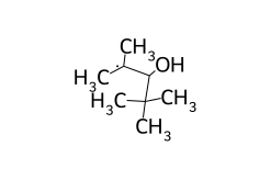 C[C](C)C(O)C(C)(C)C